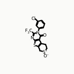 O=c1c2c3c(sc2nc(C(F)(F)F)n1-c1cccc(Cl)c1)C[S+]([O-])CC3